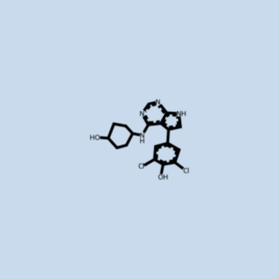 Oc1c(Cl)cc(-c2c[nH]c3ncnc(NC4CCC(O)CC4)c23)cc1Cl